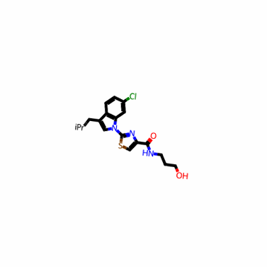 CC(C)Cc1cn(-c2nc(C(=O)NCCCO)cs2)c2cc(Cl)ccc12